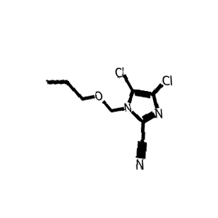 CCCOCn1c(C#N)nc(Cl)c1Cl